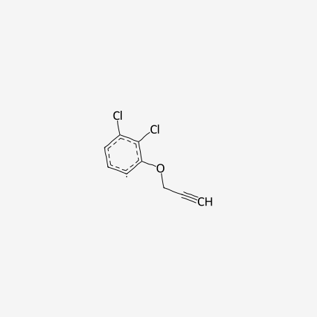 C#CCOc1[c]ccc(Cl)c1Cl